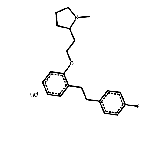 CN1CCCC1CCOc1ccccc1CCc1ccc(F)cc1.Cl